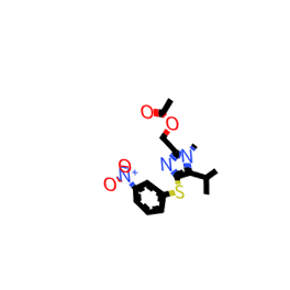 CC(=O)OCc1nc(Sc2cccc([N+](=O)[O-])c2)c(C(C)C)n1C